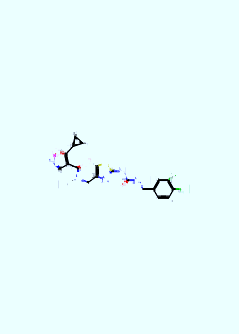 CN(Cc1csc(NC(=O)NCc2ccc(Cl)c(Cl)c2)n1)C(=O)c1cnoc1C1CC1